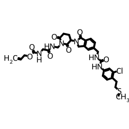 C=CCOC(=O)NCC(=O)NCN1C(=O)CCC(N2Cc3cc(CNC(=O)Nc4ccc(CCSC)c(Cl)c4)ccc3C2=O)C1=O